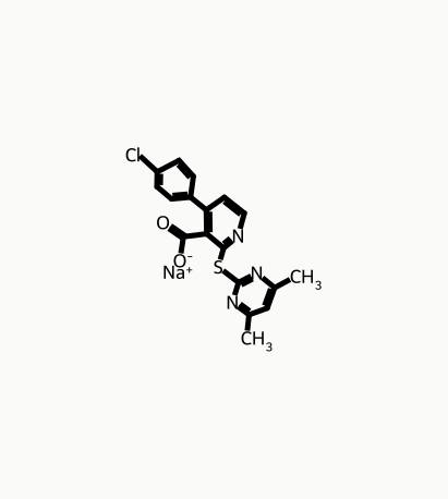 Cc1cc(C)nc(Sc2nccc(-c3ccc(Cl)cc3)c2C(=O)[O-])n1.[Na+]